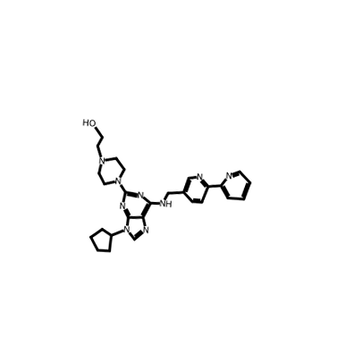 OCCN1CCN(c2nc(NCc3ccc(-c4ccccn4)nc3)c3ncn(C4CCCC4)c3n2)CC1